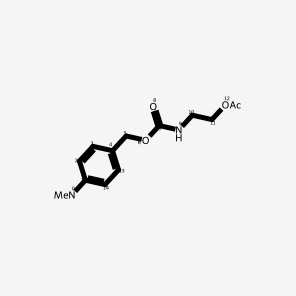 CNc1ccc(COC(=O)NCCOC(C)=O)cc1